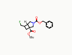 CC(C)(C)OC(=O)[C@@]12CC(CF)[C@@H]1CN(C(=O)OCc1ccccc1)C2